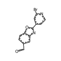 O=Cc1ccc2oc(-c3ccnc(Br)c3)nc2c1